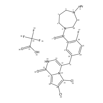 CCCN1CCCN(C(=O)c2cc(Cc3c[nH]c(=O)c4cc(Cl)c(Cl)n34)ccc2F)CC1.O=C(O)C(F)(F)F